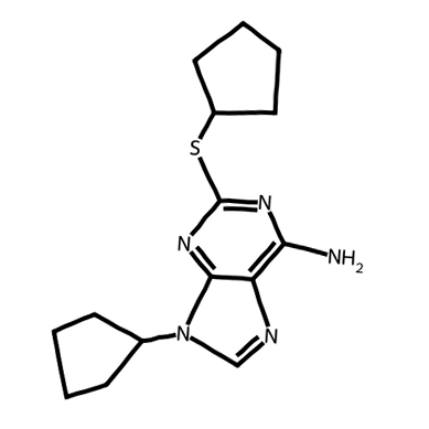 Nc1nc(SC2CCCC2)nc2c1ncn2C1CCCC1